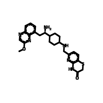 COc1cnc2cccc(C[C@@H](N)C3CCC(NCc4ccc5c(n4)NC(=O)CS5)CC3)c2n1